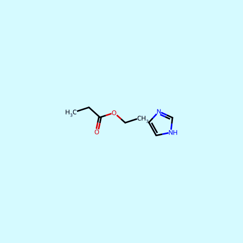 CCOC(=O)CC.c1c[nH]cn1